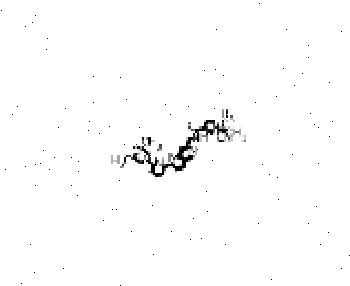 C[C@@H]1CN(c2cccc(-c3ccc4cnc(CNC(=O)c5ccn(C(C)(C)C#N)n5)cc4n3)n2)C[C@H](C)O1